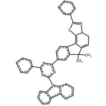 CC1(C)C2=CCC3N=C(c4ccccc4)SC3=C2c2ccc(-c3nc(-c4ccccc4)nc(-n4c5ccccc5c5ccccc54)n3)cc21